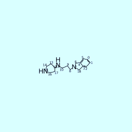 c1ccc2c(c1)CN(CCCNC1CCNCC1)C2